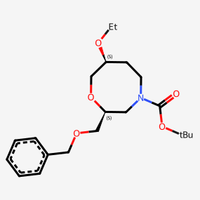 CCO[C@H]1CCN(C(=O)OC(C)(C)C)C[C@@H](COCc2ccccc2)OC1